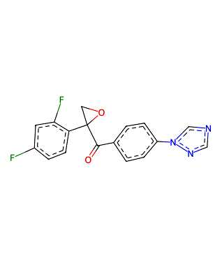 O=C(c1ccc(-n2cncn2)cc1)C1(c2ccc(F)cc2F)CO1